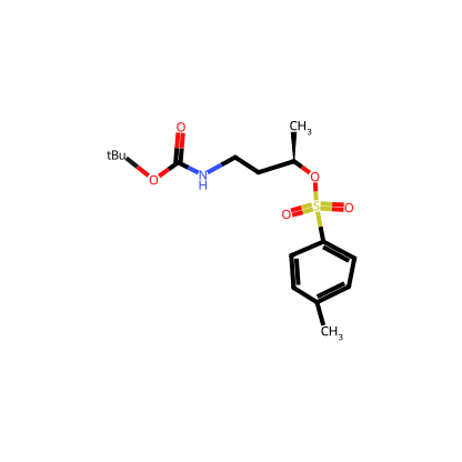 Cc1ccc(S(=O)(=O)O[C@H](C)CCNC(=O)OC(C)(C)C)cc1